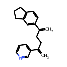 C=C(CCC(=C)c1ccc2c(c1)CCC2)c1cccnc1